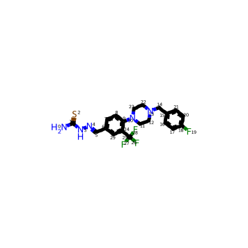 NC(=S)NN=Cc1ccc(N2CCN(Cc3ccc(F)cc3)CC2)c(C(F)(F)F)c1